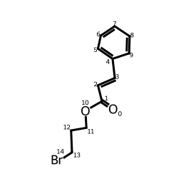 O=C(C=Cc1ccccc1)OCCCBr